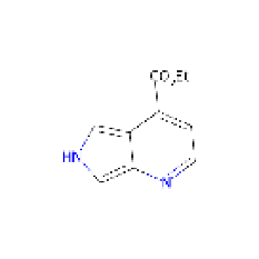 CCOC(=O)c1ccnc2c[nH]cc12